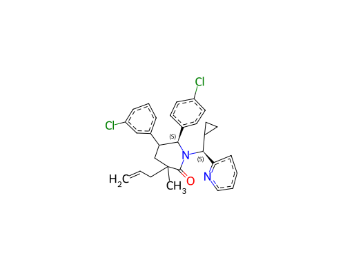 C=CCC1(C)CC(c2cccc(Cl)c2)[C@@H](c2ccc(Cl)cc2)N([C@H](c2ccccn2)C2CC2)C1=O